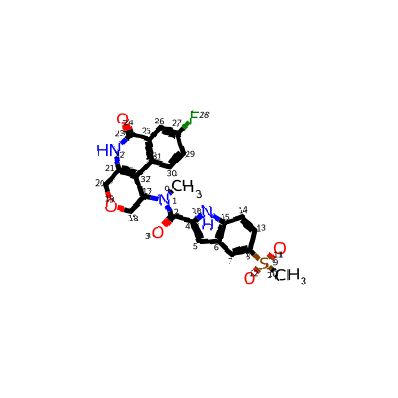 CN(C(=O)c1cc2cc(S(C)(=O)=O)ccc2[nH]1)C1COCc2[nH]c(=O)c3cc(F)ccc3c21